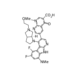 CNc1cc(F)c(F)c2c1[nH]c1ncc(-c3cnc4c(c3)c(=O)c(C(=O)O)cn4C)c(N3CCC4CN(CCOC)C[C@H]43)c12